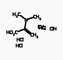 C.C=C(C(=O)O)N(C)C.Cl.Cl.Cl.Cl